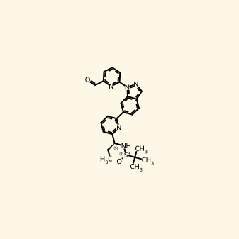 CC[C@H](N[S@@+]([O-])C(C)(C)C)c1cccc(-c2ccc3cnn(-c4cccc(C=O)n4)c3c2)n1